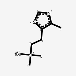 Cc1ncsc1CC[Si](C)(C)C(C)(C)C